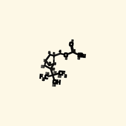 CC(C)(C)C(=O)OCC1CC2CC1C(C(O)(C(F)(F)F)C(F)(F)F)C2